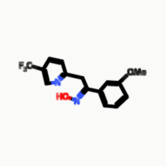 COc1cccc(C(Cc2ccc(C(F)(F)F)cn2)=NO)c1